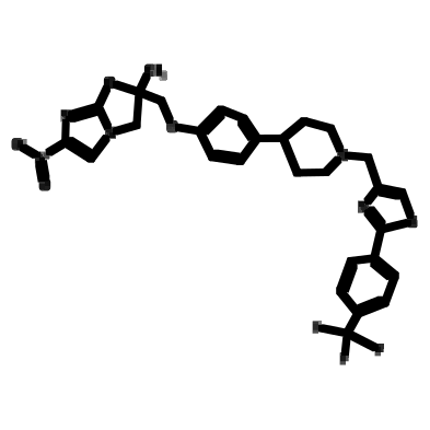 CC1(COc2ccc(C3CCN(Cc4csc(-c5ccc(C(F)(F)F)cc5)n4)CC3)cc2)Cn2cc([N+](=O)[O-])nc2O1